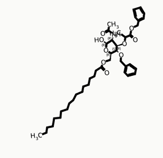 CCCCCCCCCCCCCCCCCC(=O)OC[C@H]1O[C@@H](O)[C@H](NC(C)=O)[C@@H](OC(C)C(=O)OCc2ccccc2)[C@@H]1OCc1ccccc1